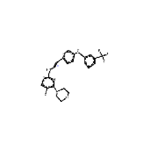 Fc1cnc(N/C=C/c2ccc(Nc3cccc(C(F)(F)F)c3)cn2)nc1N1CCOCC1